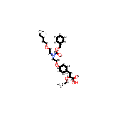 CCCCCOCCN(CCOc1ccc(CC(OCC)C(=O)O)cc1)C(=O)OCc1ccccc1